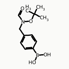 CC(C)(C)ON(C=O)Cc1ccc(B(O)O)cc1